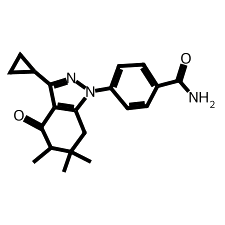 CC1C(=O)c2c(C3CC3)nn(-c3ccc(C(N)=O)cc3)c2CC1(C)C